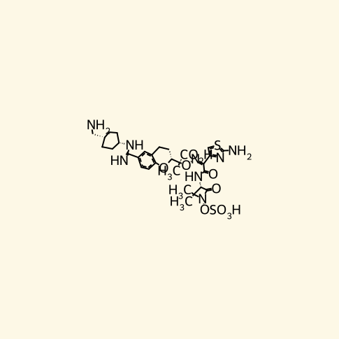 CC1(C)[C@H](NC(=O)/C(=N\O[C@](C)(C(=O)O)[C@H]2CCc3cc(C(=N)N[C@H]4CC[C@@H](CN)CC4)ccc3O2)c2csc(N)n2)C(=O)N1OS(=O)(=O)O